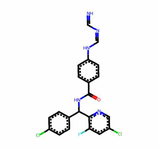 N=C/N=C\Nc1ccc(C(=O)NC(c2ccc(Cl)cc2)c2ncc(Cl)cc2F)cc1